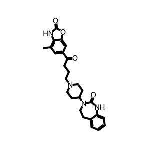 Cc1cc(C(=O)CCCN2CCC(N3CCc4ccccc4NC3=O)CC2)cc2oc(=O)[nH]c12